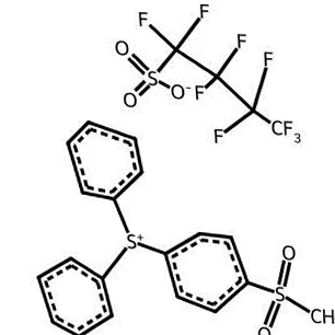 CS(=O)(=O)c1ccc([S+](c2ccccc2)c2ccccc2)cc1.O=S(=O)([O-])C(F)(F)C(F)(F)C(F)(F)C(F)(F)F